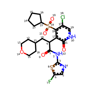 O=C(Nc1ncc(F)s1)C(CC1CCOCC1)c1c(S(=O)(=O)C2CCCC2)c(Cl)c[nH]c1=O